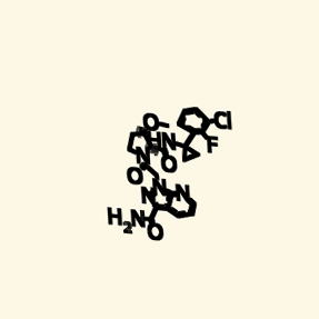 CO[C@@H]1CCN(C(=O)Cn2nc(C(N)=O)c3cccnc32)[C@@H]1C(=O)NC1(c2cccc(Cl)c2F)CC1